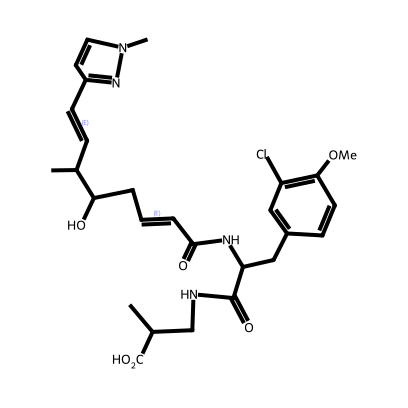 COc1ccc(CC(NC(=O)/C=C/CC(O)C(C)/C=C/c2ccn(C)n2)C(=O)NCC(C)C(=O)O)cc1Cl